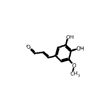 COc1cc(C=C[C]=O)cc(O)c1O